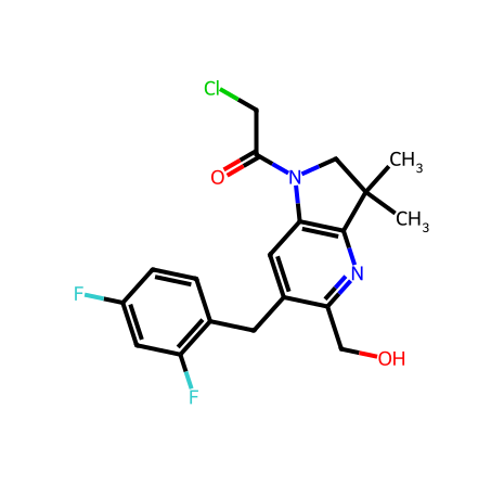 CC1(C)CN(C(=O)CCl)c2cc(Cc3ccc(F)cc3F)c(CO)nc21